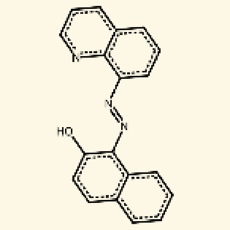 Oc1ccc2ccccc2c1N=Nc1cccc2cccnc12